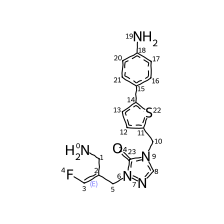 NC/C(=C\F)Cn1ncn(Cc2ccc(-c3ccc(N)cc3)s2)c1=O